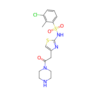 Cc1c(Cl)cccc1S(=O)(=O)Nc1nc(CC(=O)N2CCNCC2)cs1